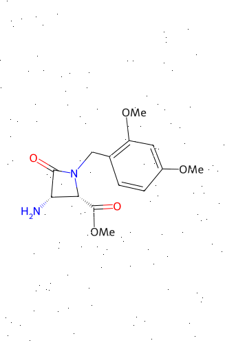 COC(=O)[C@@H]1[C@H](N)C(=O)N1Cc1ccc(OC)cc1OC